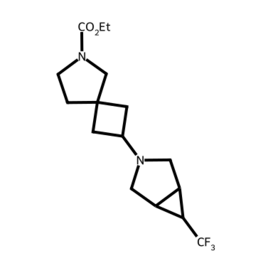 CCOC(=O)N1CCC2(CC(N3CC4C(C3)C4C(F)(F)F)C2)C1